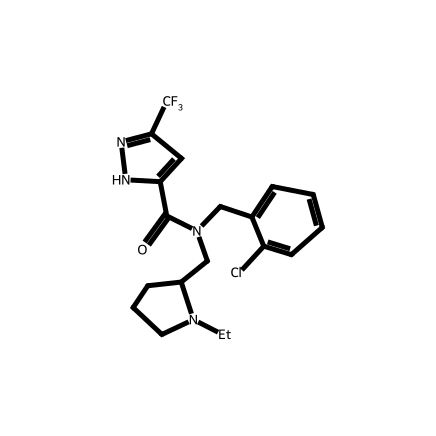 CCN1CCCC1CN(Cc1ccccc1Cl)C(=O)c1cc(C(F)(F)F)n[nH]1